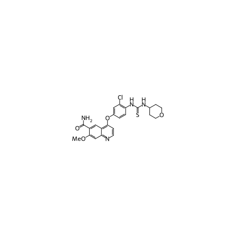 COc1cc2nccc(Oc3ccc(NC(=S)NC4CCOCC4)c(Cl)c3)c2cc1C(N)=O